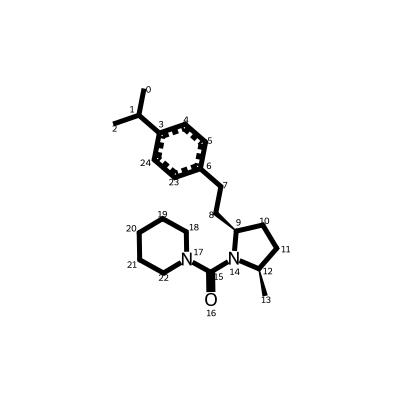 CC(C)c1ccc(CC[C@H]2CC[C@@H](C)N2C(=O)N2CCCCC2)cc1